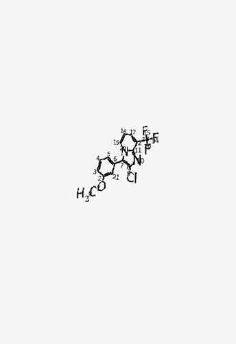 COc1cccc(-c2c(Cl)nc3c(C(F)(F)F)cccn23)c1